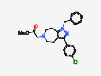 COC(=O)CN1CCc2c(-c3ccc(Cl)cc3)nn(Cc3ccccc3)c2CC1